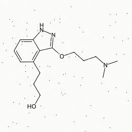 CN(C)CCCOc1n[nH]c2cccc(CCCO)c12